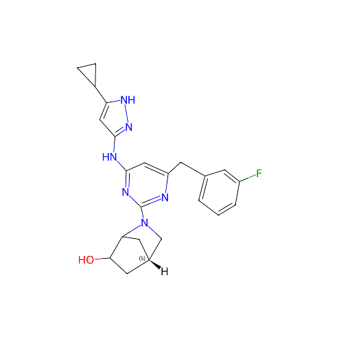 OC1C[C@@H]2CC1N(c1nc(Cc3cccc(F)c3)cc(Nc3cc(C4CC4)[nH]n3)n1)C2